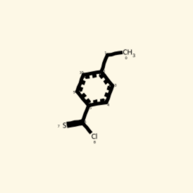 CCc1ccc(C(=S)Cl)cc1